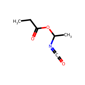 CCC(=O)OC(C)N=C=O